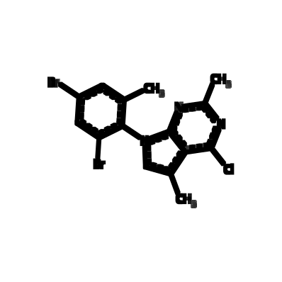 Cc1nc(Cl)c2c(C)cn(-c3c(C)cc(Br)cc3Br)c2n1